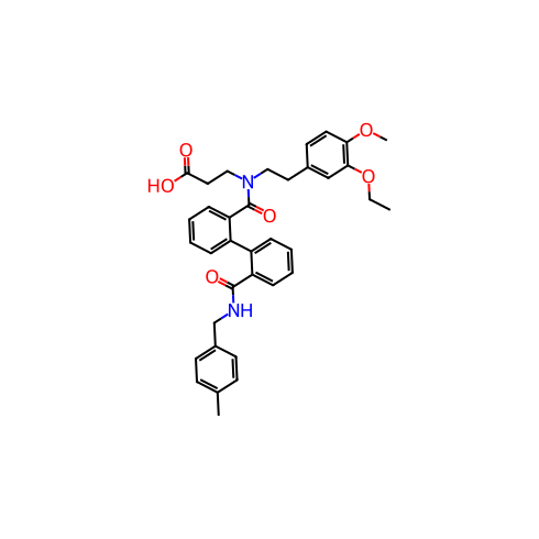 CCOc1cc(CCN(CCC(=O)O)C(=O)c2ccccc2-c2ccccc2C(=O)NCc2ccc(C)cc2)ccc1OC